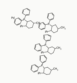 CC1CCC(C(C)C)C(P(c2ccccc2)c2ccccc2)C1.CC1CCC(C(C)C)C(P(c2ccccc2)c2ccccc2)C1.CC1CCC(C(C)C)C(P(c2ccccc2)c2ccccc2)C1.CC1CCC(C(C)C)C(P(c2ccccc2)c2ccccc2)C1.[Pd]